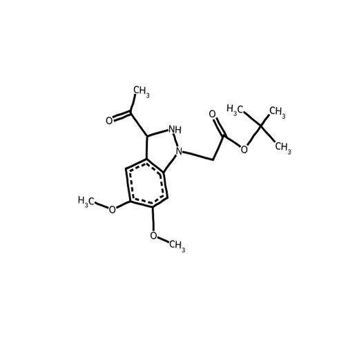 COc1cc2c(cc1OC)N(CC(=O)OC(C)(C)C)NC2C(C)=O